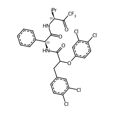 CC(C)[C@H](NC(=O)[C@@H](NC(=O)C(Cc1ccc(Cl)c(Cl)c1)Oc1ccc(Cl)c(Cl)c1)c1ccccc1)C(=O)C(F)(F)F